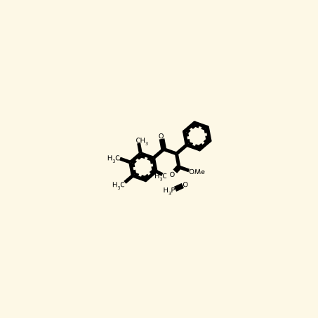 COC(=O)C(C(=O)c1c(C)cc(C)c(C)c1C)c1ccccc1.O=[PH3]